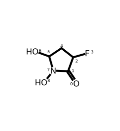 O=C1C(F)CC(O)N1O